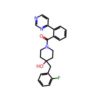 O=C(c1ccccc1-c1ccncn1)N1CCC(O)(Cc2ccccc2F)CC1